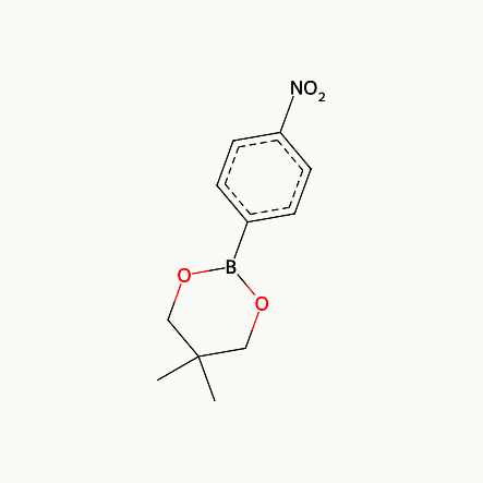 CC1(C)COB(c2ccc([N+](=O)[O-])cc2)OC1